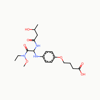 CCN(OC)C(=O)C(NC(=O)CC(C)O)Nc1ccc(OCCCC(=O)O)cc1